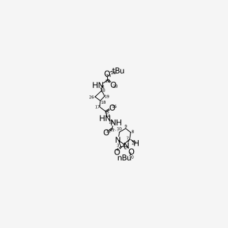 CCCCON1C(=O)N2C[C@@H]1CC[C@H]2C(=O)NNC(=O)CC1CC(NC(=O)OC(C)(C)C)C1